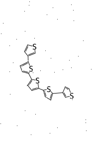 c1cc(-c2ccc(-c3ccc(-c4ccc(-c5ccsc5)s4)s3)s2)cs1